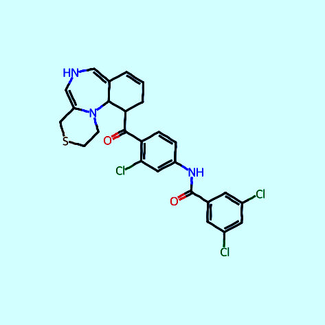 O=C(Nc1ccc(C(=O)C2CC=CC3=CNC=C4CSCCN4C32)c(Cl)c1)c1cc(Cl)cc(Cl)c1